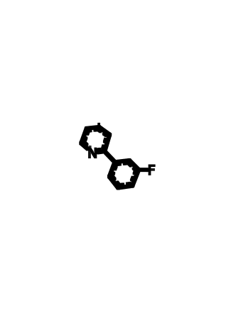 Fc1cccc(-c2c[c]ccn2)c1